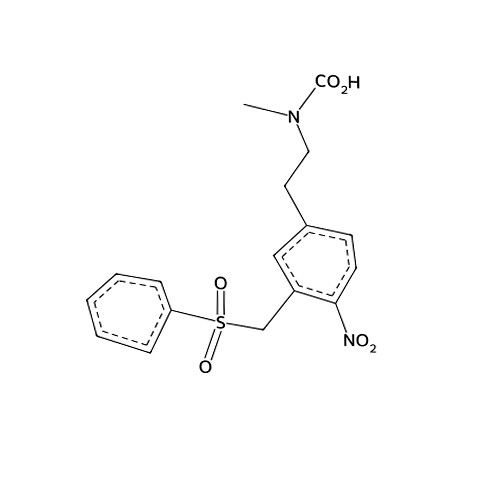 CN(CCc1ccc([N+](=O)[O-])c(CS(=O)(=O)c2ccccc2)c1)C(=O)O